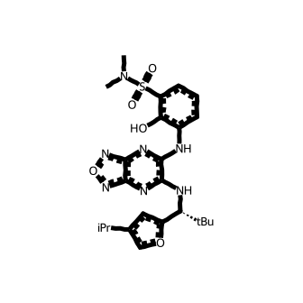 CC(C)c1coc([C@H](Nc2nc3nonc3nc2Nc2cccc(S(=O)(=O)N(C)C)c2O)C(C)(C)C)c1